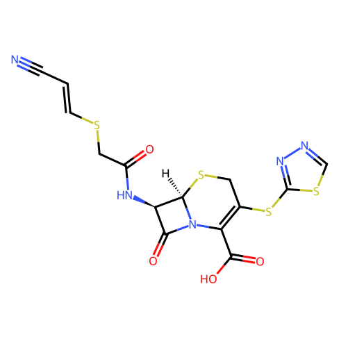 N#C/C=C/SCC(=O)N[C@@H]1C(=O)N2C(C(=O)O)=C(Sc3nncs3)CS[C@H]12